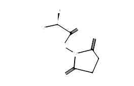 CC(C)[C@H](N)C(=O)ON1C(=O)CCC1=O